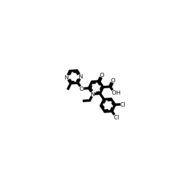 CCn1c(Oc2nccnc2C)cc(=O)c(C(=O)O)c1-c1ccc(Cl)c(Cl)c1